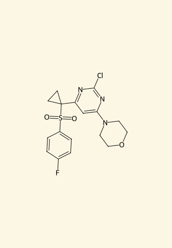 O=S(=O)(c1ccc(F)cc1)C1(c2cc(N3CCOCC3)nc(Cl)n2)CC1